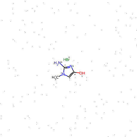 Br.Cn1cc(O)nc1N